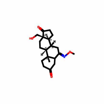 CON=C1C[C@H]2[C@@H]3CCC(=O)[C@@]3(CO)CC[C@@H]2[C@@]2(C)CCC(=O)CC12